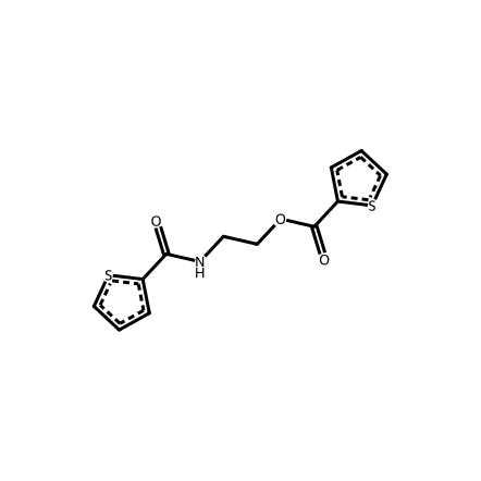 O=C(NCCOC(=O)c1cccs1)c1cccs1